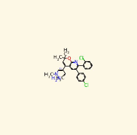 C=C/C(=C\N(C)N)C1=CC(C)(C)Oc2nc(-c3ccccc3Cl)c(-c3ccc(Cl)cc3)cc21